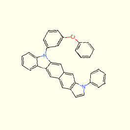 c1ccc(Oc2cccc(-n3c4ccccc4c4cc5cc6ccn(-c7ccccc7)c6cc5cc43)c2)cc1